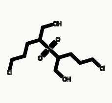 O=S(=O)(C(CO)CCCCl)C(CO)CCCCl